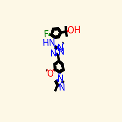 COc1cc(-c2nc(Nc3cc(C(C)(C)O)ccc3F)n(C)n2)ccc1-n1cnc(C)c1